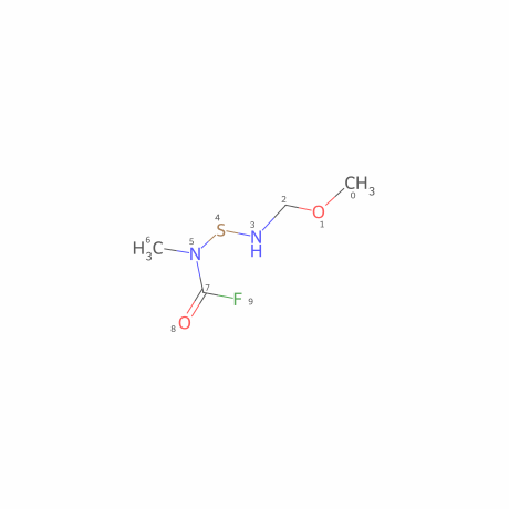 COCNSN(C)C(=O)F